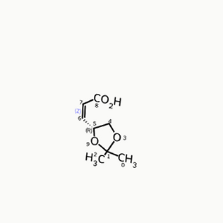 CC1(C)OC[C@@H](/C=C\C(=O)O)O1